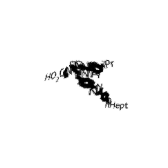 CCCCCCCOc1ccc(-c2cnc(-c3ccc(C[C@H](NC(=O)c4ccc(C(C)C)cc4)C(=O)N4CC[C@H](C(=O)O)C4)cc3)nc2)cc1